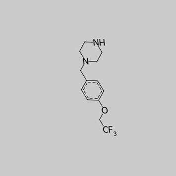 FC(F)(F)COc1ccc(CN2CCNCC2)cc1